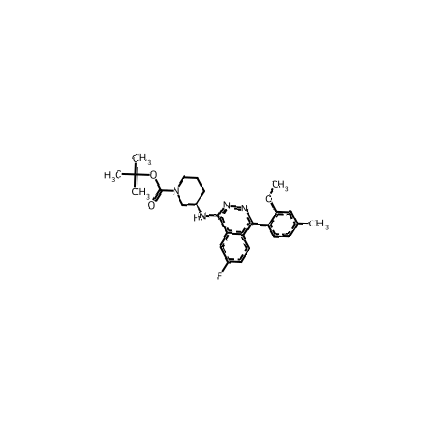 COc1cc(C)ccc1-c1nnc(N[C@@H]2CCCN(C(=O)OC(C)(C)C)C2)c2cc(F)ccc12